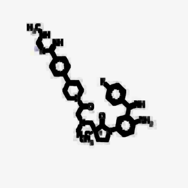 CCN(CC(=O)N1CC=C(c2ccc(C(=N)/N=C\NC)cc2)CC1)C[C@]1(C)CCN(c2ccc(N)c(C(=N)c3ccc(F)cc3)c2)C1=O